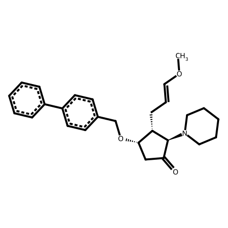 COC=CC[C@H]1[C@@H](OCc2ccc(-c3ccccc3)cc2)CC(=O)[C@@H]1N1CCCCC1